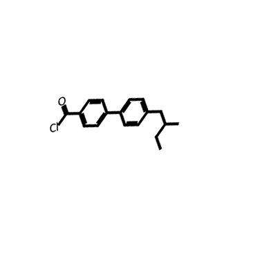 CCC(C)Cc1ccc(-c2ccc(C(=O)Cl)cc2)cc1